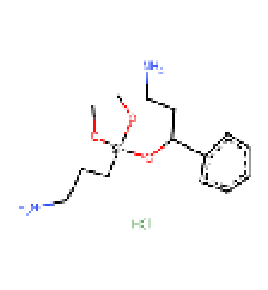 CO[Si](CCCN)(OC)OC(CCN)c1ccccc1.Cl